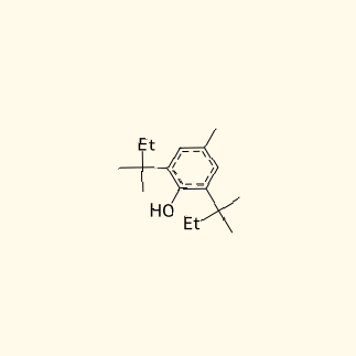 CCC(C)(C)c1cc(C)cc(C(C)(C)CC)c1O